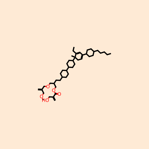 C=C(COC)COCC(CCC1CCC(C2CCC(C3(C)CC=C(C4CCC(CCCCC)CC4)C=C3CC)CC2)CC1)COC(=O)C(=C)CO